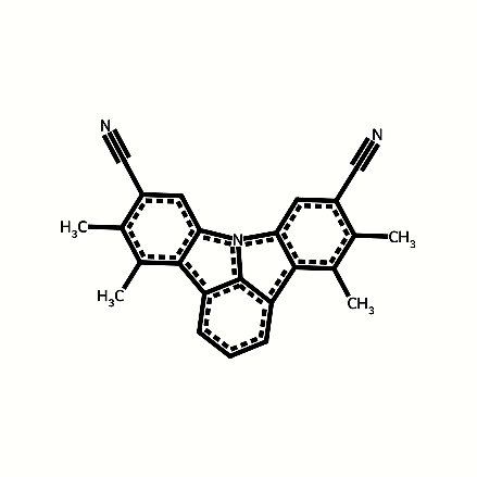 Cc1c(C#N)cc2c(c1C)c1cccc3c4c(C)c(C)c(C#N)cc4n2c13